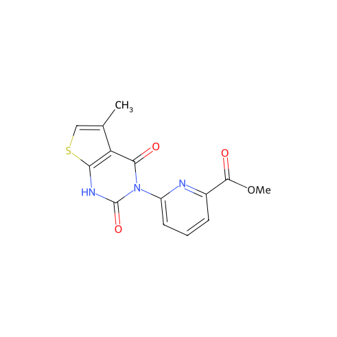 COC(=O)c1cccc(-n2c(=O)[nH]c3scc(C)c3c2=O)n1